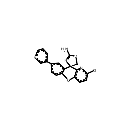 NC1=N[C@@]2(CO1)c1cc(-c3cccnc3)ccc1Oc1ccc(Cl)nc12